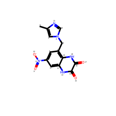 Cc1cn(Cc2cc([N+](=O)[O-])cc3[nH]c(=O)c(=O)[nH]c23)cn1